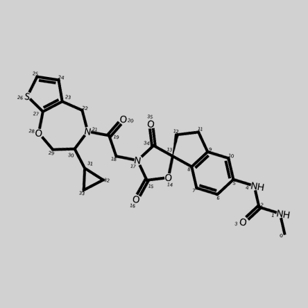 CNC(=O)Nc1ccc2c(c1)CC[C@]21OC(=O)N(CC(=O)N2Cc3ccsc3OCC2C2CC2)C1=O